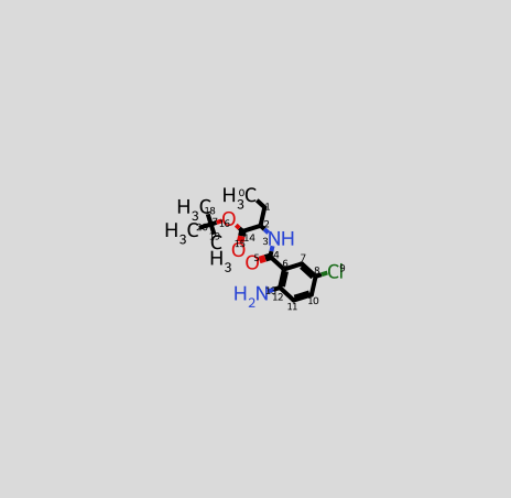 CCC(NC(=O)c1cc(Cl)ccc1N)C(=O)OC(C)(C)C